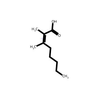 CCCCC/C(C)=C(/C)C(=O)O